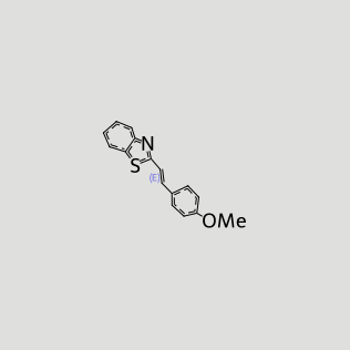 COc1ccc(/C=C/c2nc3ccccc3s2)cc1